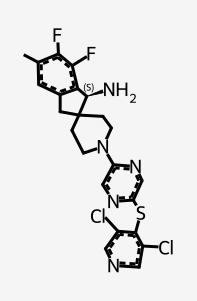 Cc1cc2c(c(F)c1F)[C@@H](N)C1(CCN(c3cnc(Sc4c(Cl)cncc4Cl)cn3)CC1)C2